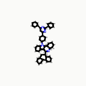 c1ccc(-c2cc(-c3ccc(-n4c5ccccc5c5c(-c6cc7ccccc7c7ccccc67)nc6ccccc6c54)cc3)nc(-c3ccccc3)n2)cc1